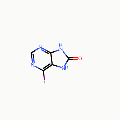 O=c1[nH]c2ncnc(I)c2[nH]1